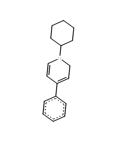 C1=CN(C2CCCCC2)CC=C1c1ccccc1